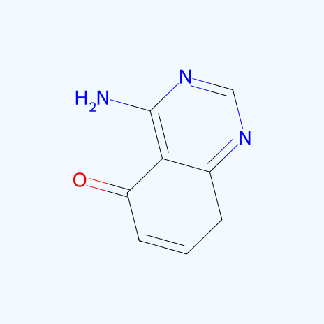 Nc1ncnc2c1C(=O)C=CC2